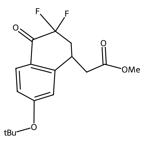 COC(=O)CC1CC(F)(F)C(=O)c2ccc(OC(C)(C)C)cc21